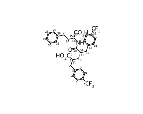 O=C(O)[C@H](Cc1ccc(C(F)(F)F)cc1)C[C@@H](Cc1ccc(C(F)(F)F)cc1)C(=O)N[C@@H](CCc1ccccc1)C(=O)O